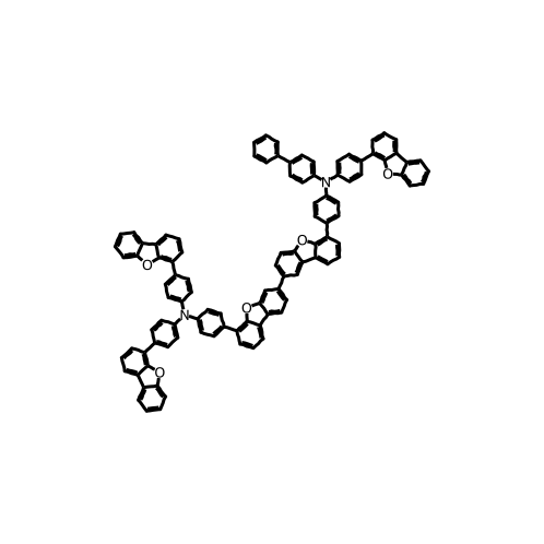 c1ccc(-c2ccc(N(c3ccc(-c4cccc5c4oc4ccccc45)cc3)c3ccc(-c4cccc5c4oc4ccc(-c6ccc7c(c6)oc6c(-c8ccc(N(c9ccc(-c%10cccc%11c%10oc%10ccccc%10%11)cc9)c9ccc(-c%10cccc%11c%10oc%10ccccc%10%11)cc9)cc8)cccc67)cc45)cc3)cc2)cc1